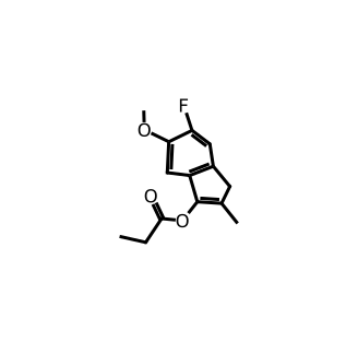 CCC(=O)OC1=C(C)Cc2cc(F)c(OC)cc21